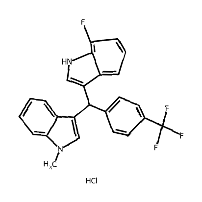 Cl.Cn1cc([C](c2ccc(C(F)(F)F)cc2)c2c[nH]c3c(F)cccc23)c2ccccc21